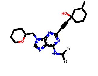 CCC(CC)Nc1nc(C#CC2(O)CCCC(C)C2)nc2c1ncn2CC1CCCCO1